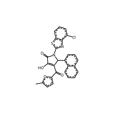 Cc1ccc(C(=O)C2=C(O)C(=O)N(c3nc4c(Cl)cccc4s3)C2c2cccc3ccccc23)o1